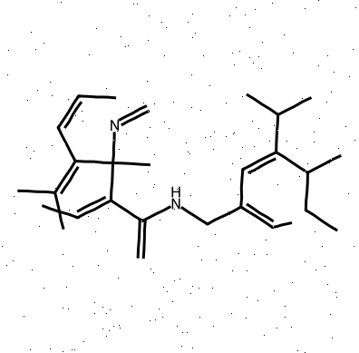 C=NC(C)(C(/C=C\C)=C(C)C)/C(=C\C)C(=C)NCC(/C=C(/C(C)C)C(C)CC)=C/C